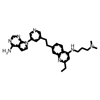 CCc1cc(NCCCN(C)C)c2ccc(CCc3cncc(-n4ccc5c(N)ncnc54)c3)cc2n1